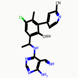 COc1c(C(C)Nc2ncnc(N)c2C=N)cc(Cl)c(C)c1-c1ccnc(C#N)c1